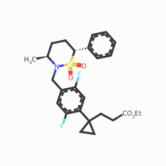 CCOC(=O)CCC1(c2cc(F)c(CN3[C@@H](C)CC[C@H](c4ccccc4)S3(=O)=O)cc2F)CC1